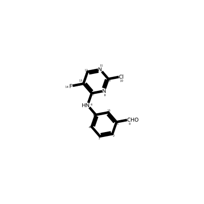 O=Cc1cccc(Nc2nc(Cl)ncc2F)c1